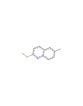 CSc1ccc2cc(C)ccc2n1